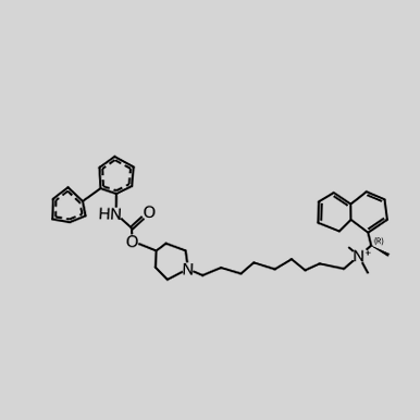 C[C@H](C1=CC=CC2=CC=CCC21)[N+](C)(C)CCCCCCCCCN1CCC(OC(=O)Nc2ccccc2-c2ccccc2)CC1